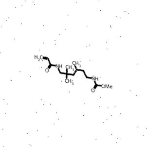 C=CC(=O)NCC(C)(C)CC(C)CCNC(=O)OC